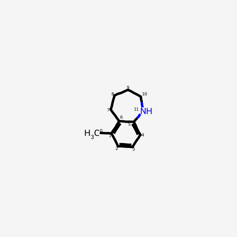 Cc1cccc2c1CCCCN2